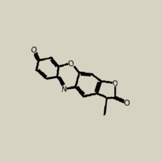 CC1C(=O)Oc2cc3oc4cc(=O)ccc-4nc3cc21